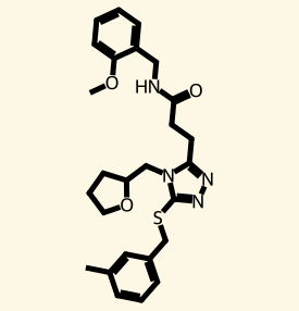 COc1ccccc1CNC(=O)CCc1nnc(SCc2cccc(C)c2)n1CC1CCCO1